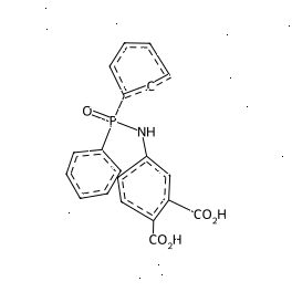 O=C(O)c1ccc(NP(=O)(c2ccccc2)c2ccccc2)cc1C(=O)O